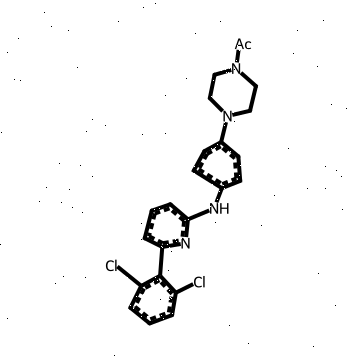 CC(=O)N1CCN(c2ccc(Nc3cccc(-c4c(Cl)cccc4Cl)n3)cc2)CC1